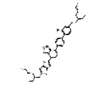 CCCCC(CC)CCc1ccc(-c2ccc(-c3ccc(-c4cc5sc(CC(CC)CCCC)cc5s4)c4nsnc34)cc2)c(F)c1